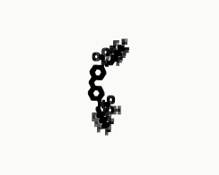 O=C(O)N(CC(F)(F)C(F)(F)C(F)(F)F)C1CCC(CC2CCC(N(CC(F)(F)C(F)(F)C(F)(F)F)C(=O)O)CC2)CC1